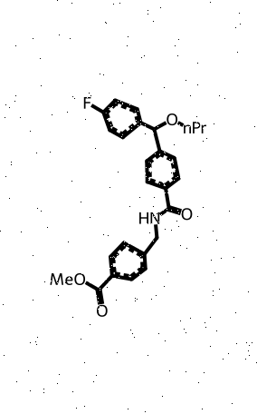 CCCOC(c1ccc(F)cc1)c1ccc(C(=O)NCc2ccc(C(=O)OC)cc2)cc1